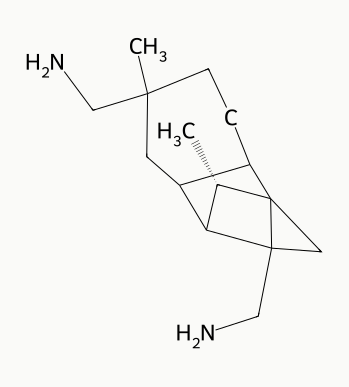 C[C@H]1C2C3CC(C)(CN)CCC3C13CC23CN